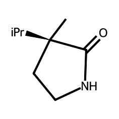 CC(C)[C@]1(C)CCNC1=O